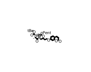 CCCCCC(=O)OC(CCOc1ccc2ccc(=O)oc2c1)CNC(=O)[C@H](C)NC(=O)OC(C)(C)C